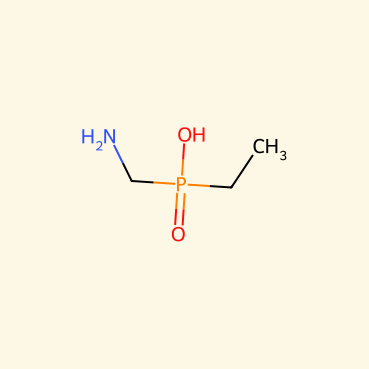 CCP(=O)(O)CN